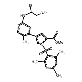 CC[C@@H](COC(C)=O)Nc1cc(-c2cc(C(=O)OC)n(S(=O)(=O)c3c(C)cc(C)cc3C)c2)c(C)cn1